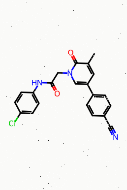 Cc1cc(-c2ccc(C#N)cc2)cn(CC(=O)Nc2ccc(Cl)cc2)c1=O